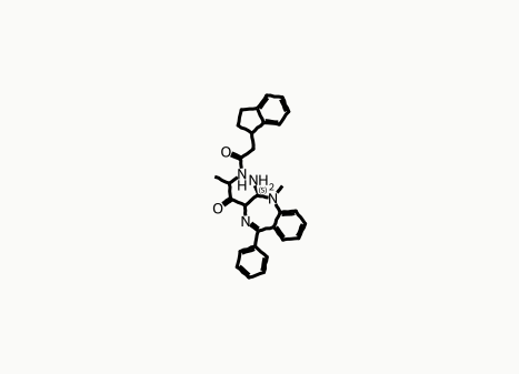 CC(NC(=O)CC1CCc2ccccc21)C(=O)C1N=C(c2ccccc2)c2ccccc2N(C)[C@@H]1N